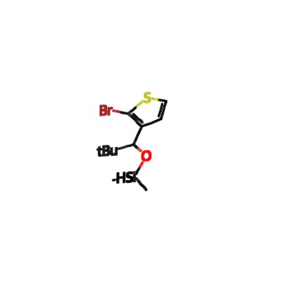 C[SiH](C)OC(c1ccsc1Br)C(C)(C)C